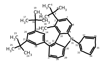 Cc1c(C(C)(C)C)ccc2c1c1c(-c3cc(C(C)(C)C)cc(C(C)(C)C)c3)cccc1n2-c1ccccc1